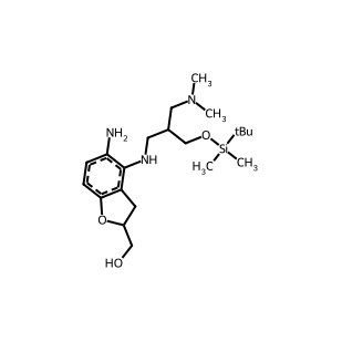 CN(C)CC(CNc1c(N)ccc2c1CC(CO)O2)CO[Si](C)(C)C(C)(C)C